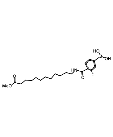 COC(=O)CCCCCCCCCCCNC(=O)c1ccc(B(O)O)cc1F